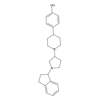 Oc1ccc(C2CCN(C3CCN(C4CCc5ccccc54)C3)CC2)cc1